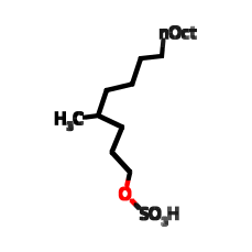 CCCCCCCCCCCCC(C)CCCOS(=O)(=O)O